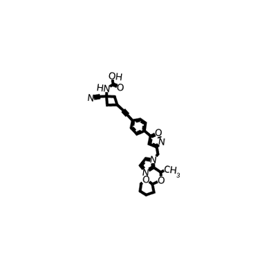 CC(OC1CCCCO1)c1nccn1Cc1cc(-c2ccc(C#CC3CC(C#N)(NC(=O)O)C3)cc2)on1